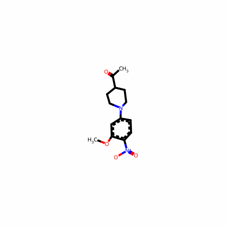 COc1cc(N2CCC(C(C)=O)CC2)ccc1[N+](=O)[O-]